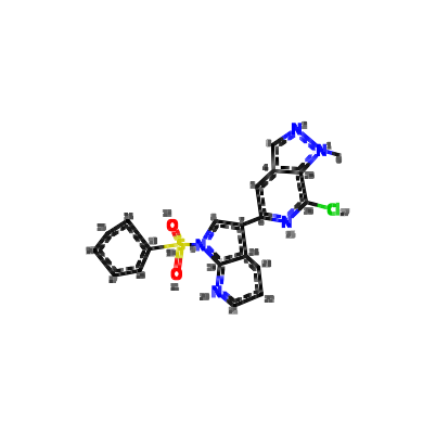 Cn1ncc2cc(-c3cn(S(=O)(=O)c4ccccc4)c4ncccc34)nc(Cl)c21